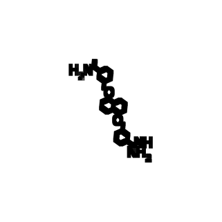 C=C(N)c1cccc(COc2cccc3c(OCc4cccc(C(=N)N)c4)cccc23)c1